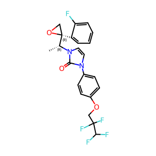 C[C@@H](n1ccn(-c2ccc(OCC(F)(F)C(F)F)cc2)c1=O)[C@]1(c2ccccc2F)CO1